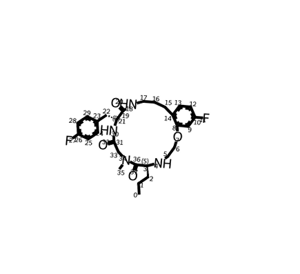 CCC[C@@H]1NCCOc2cc(F)ccc2CCCNC(=O)[C@@H](Cc2ccc(F)cc2)NC(=O)CN(C)C1=O